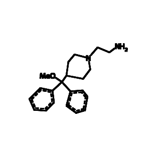 COC(c1ccccc1)(c1ccccc1)C1CCN(CCN)CC1